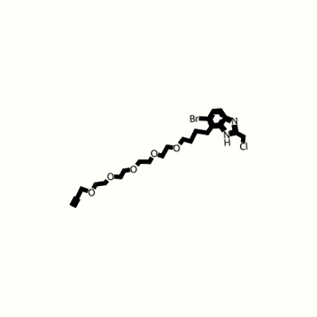 C#CCOCCOCCOCCOCCOCCCCc1c(Br)ccc2nc(CCl)[nH]c12